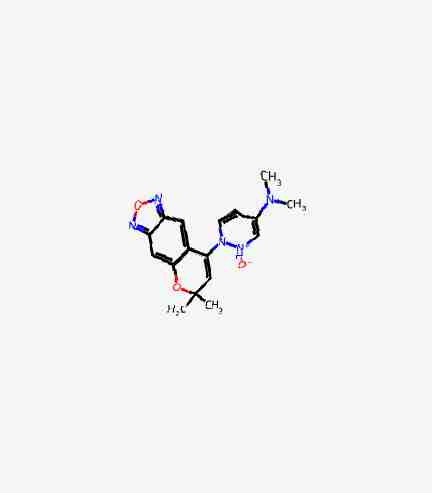 CN(C)C1=C[NH+]([O-])N(C2=CC(C)(C)Oc3cc4nonc4cc32)C=C1